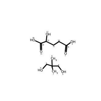 CC(C)(CO)CO.O=C(O)CCC(O)C(=O)O